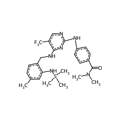 Cc1ccc(CNc2nc(Nc3ccc(C(=O)N(C)C)cc3)ncc2C(F)(F)F)c(NS(C)(C)C)c1